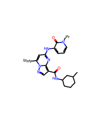 CNc1cc(Nc2cccn(C(C)C)c2=O)nc2c(C(=O)NC3CCCC(C)C3)cnn12